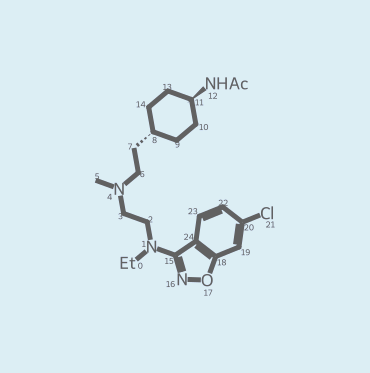 CCN(CCN(C)CC[C@H]1CC[C@H](NC(C)=O)CC1)c1noc2cc(Cl)ccc12